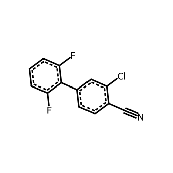 N#Cc1ccc(-c2c(F)cccc2F)cc1Cl